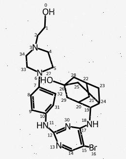 OCCN1CCN(c2ccc(Nc3ncc(Br)c(NC4C5CC6CC4CC(O)(C6)C5)n3)cc2)CC1